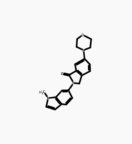 Cn1ccc2ccc(N3Cc4ccc(N5CCOCC5)cc4C3=O)cc21